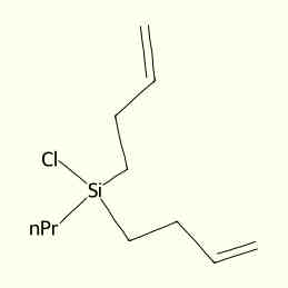 C=CCC[Si](Cl)(CCC)CCC=C